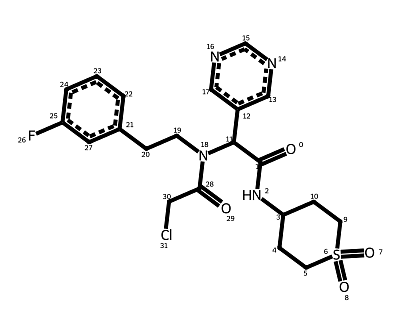 O=C(NC1CCS(=O)(=O)CC1)C(c1cncnc1)N(CCc1cccc(F)c1)C(=O)CCl